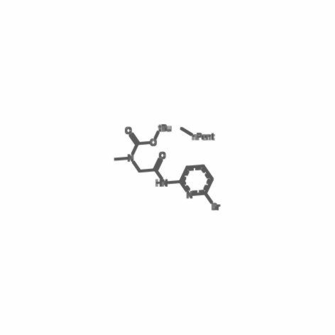 CCCCCC.CN(CC(=O)Nc1cccc(Br)n1)C(=O)OC(C)(C)C